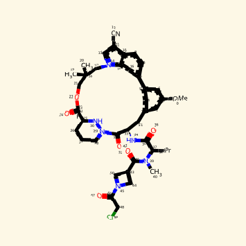 COc1cc2cc(c1)-c1ccc3c(C#N)cn(c3c1)CC(C)(C)COC(=O)[C@@H]1CCCN(N1)C(=O)[C@@H](NC(=O)C(C(C)C)N(C)C(=O)C1CN(C(=O)CCl)C1)C2